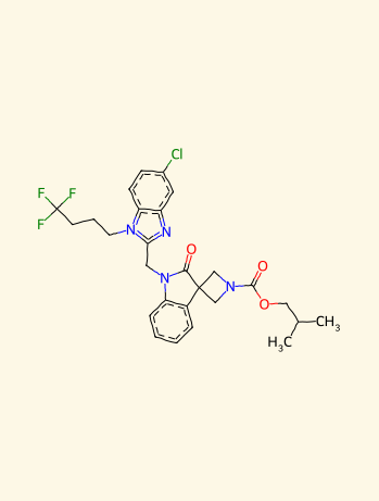 CC(C)COC(=O)N1CC2(C1)C(=O)N(Cc1nc3cc(Cl)ccc3n1CCCC(F)(F)F)c1ccccc12